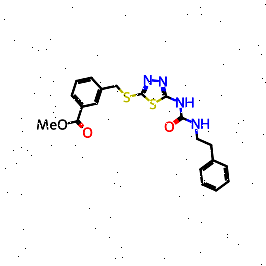 COC(=O)c1cccc(CSc2nnc(NC(=O)NCCc3ccccc3)s2)c1